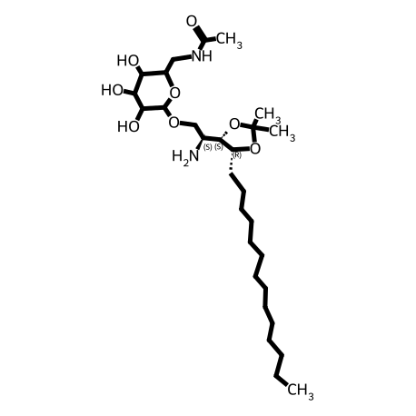 CCCCCCCCCCCCCC[C@H]1OC(C)(C)O[C@H]1[C@@H](N)COC1OC(CNC(C)=O)C(O)C(O)C1O